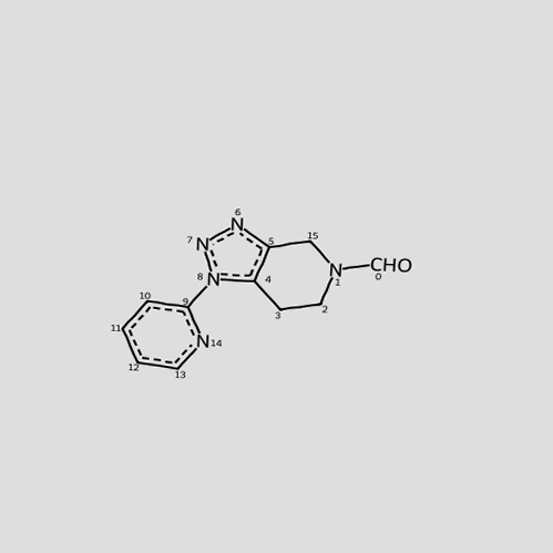 O=CN1CCc2c(nnn2-c2ccccn2)C1